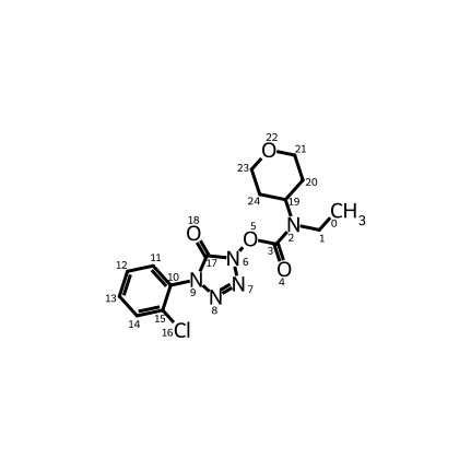 CCN(C(=O)On1nnn(-c2ccccc2Cl)c1=O)C1CCOCC1